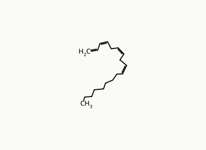 C=C/C=C\C/C=C\C/C=C\CCCCCCCC